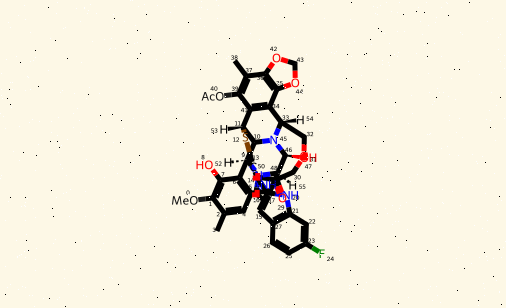 COc1c(C)cc2c(c1O)[C@H]1C3[C@@H]4SC[C@]5(NCCc6c5[nH]c5cc(F)ccc65)C(=O)COC[C@@H](c5c6c(c(C)c(OC(C)=O)c54)OCO6)N3[C@@H](O)[C@@H](C2)N1C